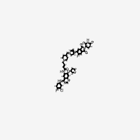 O=C(/C=C/CN1CCC(CN2CC3CC2CN3c2cc3c(cc2F)C(=O)N(C2CCC(=O)NC2=O)C3=O)CC1)Nc1cc2c(Nc3ccc(F)c(Cl)c3)ncnc2cc1O[C@H]1CCOC1